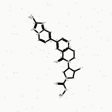 CC(C)(C)OC(=O)N1CC(F)C(N2CCc3ncc(-c4ccn5nc(N)nc5c4)cc3C2=O)C1